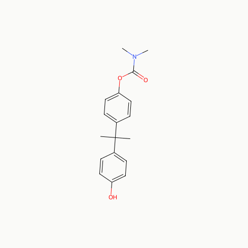 CN(C)C(=O)Oc1ccc(C(C)(C)c2ccc(O)cc2)cc1